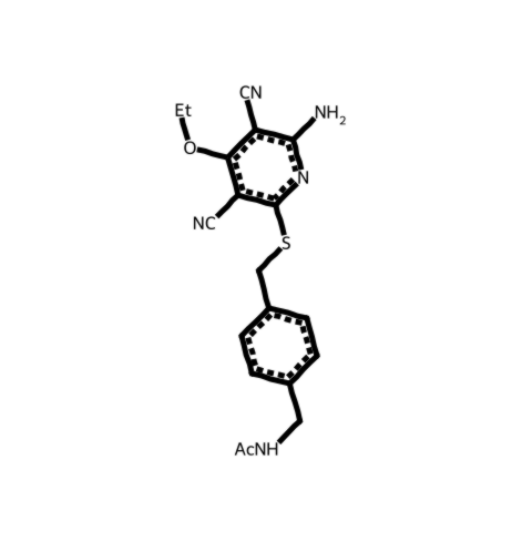 CCOc1c(C#N)c(N)nc(SCc2ccc(CNC(C)=O)cc2)c1C#N